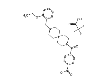 CCOc1ccccc1CN1CCC2(CC1)CCN(C(=O)c1ccc([N+](=O)[O-])cc1)CC2.O=C(O)C(F)(F)F